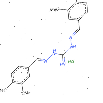 COc1ccc(C=NNC(=N)NN=Cc2ccc(OC)c(OC)c2)cc1OC.Cl